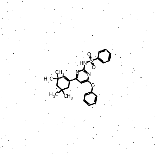 CC1(C)C=C(c2cc(Oc3ccccc3)nc(NS(=O)(=O)c3ccccc3)n2)CC(C)(C)C1